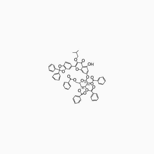 CC(C)COc1c(-c2ccc3c(c2)OC(c2ccccc2)(c2ccccc2)O3)oc2cc(O[C@@H]3OC(COC(=O)c4ccccc4)[C@@H](OC(=O)c4ccccc4)C(OC(=O)c4ccccc4)[C@@H]3OC(=O)c3ccccc3)cc(O)c2c1=O